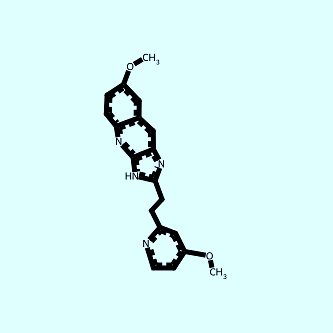 COc1ccnc(CCc2nc3cc4cc(OC)ccc4nc3[nH]2)c1